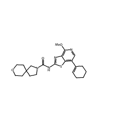 COc1ncc(C2=CCCCC2)c2sc(NC(=O)N3CCC4(CCOCC4)C3)nc12